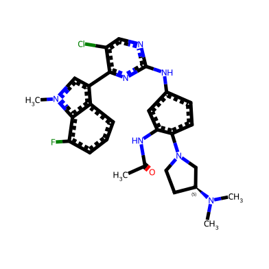 CC(=O)Nc1cc(Nc2ncc(Cl)c(-c3cn(C)c4c(F)cccc34)n2)ccc1N1CC[C@H](N(C)C)C1